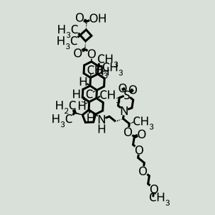 C=C(C)[C@@H]1CC[C@]2(NCC[C@@H]([C@H](C)OC(=O)COCCOCCOC)N3CCS(=O)(=O)CC3)CC[C@]3(C)[C@H](CC[C@@H]4[C@@]5(C)CC[C@H](OC(=O)[C@H]6C[C@@H](C(=O)O)C6(C)C)C(C)(C)[C@@H]5CC[C@]43C)[C@@H]12